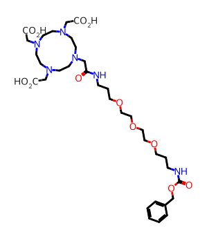 O=C(O)CN1CCN(CC(=O)O)CCN(CC(=O)NCCCOCCOCCOCCCNC(=O)OCc2ccccc2)CCN(CC(=O)O)CC1